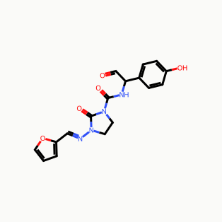 O=CC(NC(=O)N1CCN(N=Cc2ccco2)C1=O)c1ccc(O)cc1